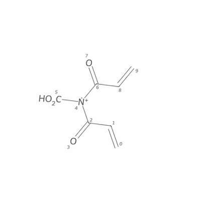 C=CC(=O)[N+](C(=O)O)C(=O)C=C